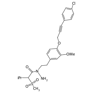 COc1cc(CCN(N)C(=O)C(C(C)C)S(C)(=O)=O)ccc1OCC#Cc1ccc(Cl)cc1